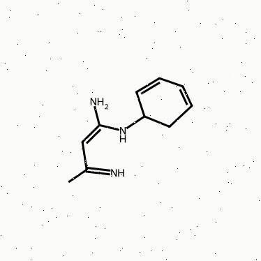 CC(=N)/C=C(/N)NC1C=CC=CC1